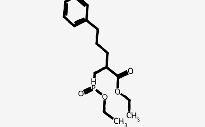 CCOC(=O)C(CCCc1ccccc1)C[PH](=O)OCC